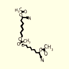 CC(=O)OC(C#N)CCCCCCOP(C)(=O)OCCCCCCC(C#N)OC(C)=O